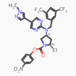 CC[C@@H]1C[C@H](N(Cc2cc(C(F)(F)F)cc(C(F)(F)F)c2)c2ncc(-c3cnn(C)c3)cn2)CN1C(=O)Oc1ccc([N+](=O)[O-])cc1